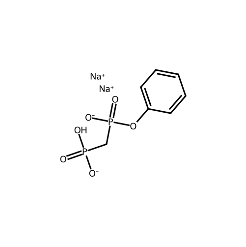 O=P([O-])(O)CP(=O)([O-])Oc1ccccc1.[Na+].[Na+]